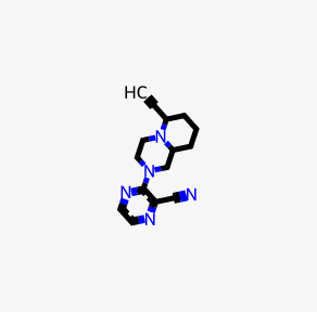 C#CC1CCCC2CN(c3nccnc3C#N)CCN12